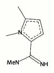 CNC(=N)c1ccc(C)n1C